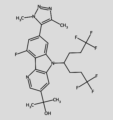 Cc1nnn(C)c1-c1cc(F)c2c3ncc(C(C)(C)O)cc3n(C(CCC(F)(F)F)CCC(F)(F)F)c2c1